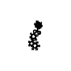 O=C(Oc1ccc(C2CCc3ccccc32)cc1)N1CCN2CCC1CC2